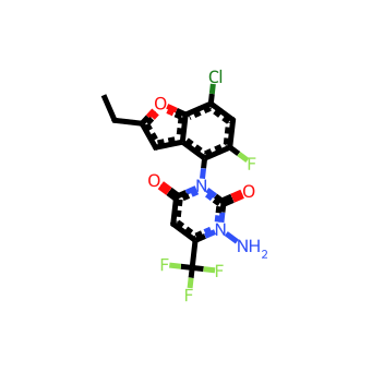 CCc1cc2c(-n3c(=O)cc(C(F)(F)F)n(N)c3=O)c(F)cc(Cl)c2o1